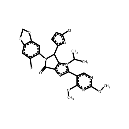 COc1ncc(-c2nc3c(n2C(C)C)C(c2ccc(Cl)s2)N(c2cc4c(cc2F)OCO4)C3=O)c(OC)n1